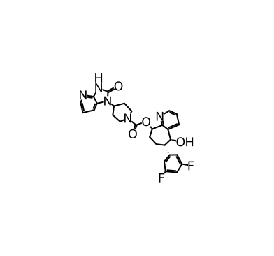 O=C(O[C@@H]1CC[C@@H](c2cc(F)cc(F)c2)[C@H](O)c2cccnc21)N1CCC(n2c(=O)[nH]c3ncccc32)CC1